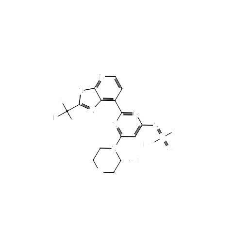 C[C@@H]1COCCN1c1cc(N=S(C)(C)=O)nc(-c2ccnc3[nH]c(C(F)(F)F)nc23)n1